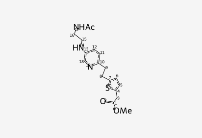 COC(=O)Cc1ccc(CCc2ccc(NCCNC(C)=O)cn2)s1